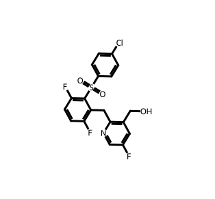 O=S(=O)(c1ccc(Cl)cc1)c1c(F)ccc(F)c1Cc1ncc(F)cc1CO